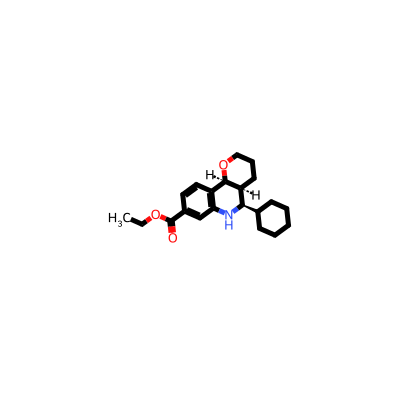 CCOC(=O)c1ccc2c(c1)N[C@H](C1CCCCC1)[C@@H]1CCCO[C@H]21